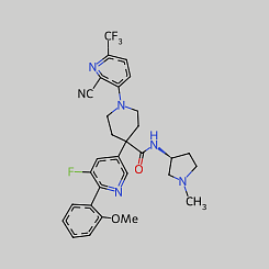 COc1ccccc1-c1ncc(C2(C(=O)N[C@H]3CCN(C)C3)CCN(c3ccc(C(F)(F)F)nc3C#N)CC2)cc1F